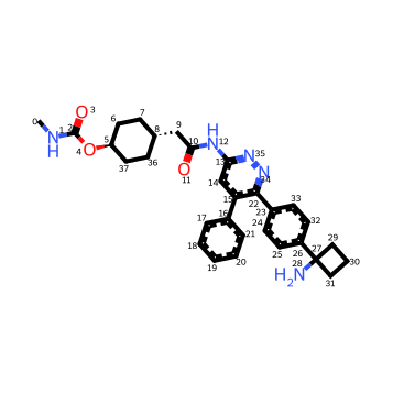 CNC(=O)O[C@H]1CC[C@H](CC(=O)Nc2cc(-c3ccccc3)c(-c3ccc(C4(N)CCC4)cc3)nn2)CC1